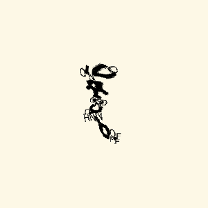 CC(=O)N(c1cc(C)c(C=CS(=O)(=O)N2CCC3(CC2)N=C(c2cccc(OC(F)(F)F)c2)NC3=O)c(C)c1)C1CCOCC1